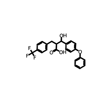 O=C(O)C(Cc1ccc(C(F)(F)F)cc1)C(O)c1ccc(Oc2ccccc2)cc1